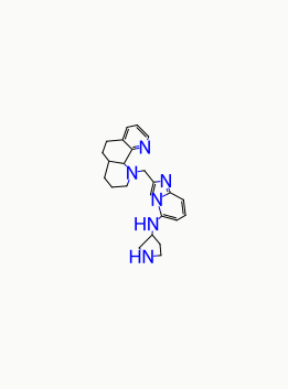 c1cnc2c(c1)CCC1CCCN(Cc3cn4c(NC5CCNC5)cccc4n3)C21